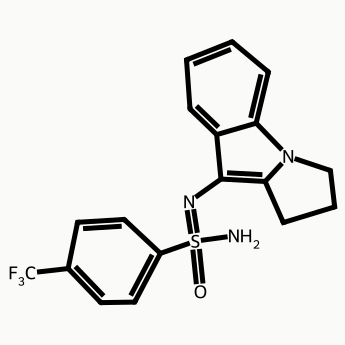 NS(=O)(=Nc1c2n(c3ccccc13)CCC2)c1ccc(C(F)(F)F)cc1